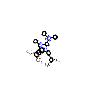 FC(F)(F)c1cc(-c2ccc3c(c2)c2cc(-c4cc(C(F)(F)F)cc(C(F)(F)F)c4)ccc2n3-c2ccc(-c3nc(-c4ccccc4)nc(-c4ccccc4)n3)cc2-c2nc(-c3ccccc3)cc(-c3ccccc3)n2)cc(C(F)(F)F)c1